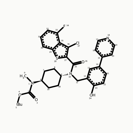 CN(C(=O)OC(C)(C)C)[C@H]1CC[C@H](N(Cc2cc(-c3ccncc3)ccc2O)C(=O)c2sc3cccc(F)c3c2Cl)CC1